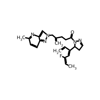 C=C/C(=C\C(F)=C/C)C1CC=NN1C(=O)CCC(=C)Cn1cc2nc(C)ccc2n1